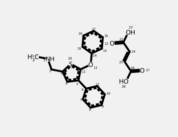 CNCc1cc(-c2ccccc2)c(Oc2ccccc2)s1.O=C(O)/C=C/C(=O)O